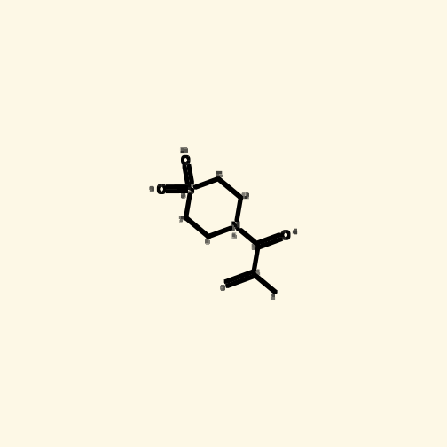 C=C(C)C(=O)N1CCS(=O)(=O)CC1